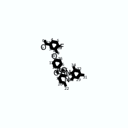 CC(=O)c1ccc(F)c(COc2ccc(S(=O)(=O)c3ccc(C)nc3Nc3c(C)cc(C)cc3C)cc2)c1